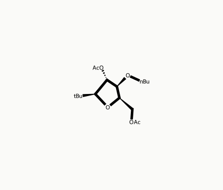 CCCCO[C@@H]1[C@@H](OC(C)=O)[C@H](C(C)(C)C)O[C@@H]1COC(C)=O